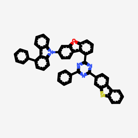 c1ccc(-c2nc(-c3ccc4c(c3)sc3ccccc34)nc(-c3cccc4oc5cc(-n6c7ccccc7c7c(-c8ccccc8)cccc76)ccc5c34)n2)cc1